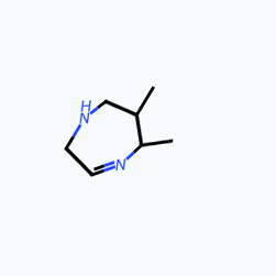 CC1CNCC=NC1C